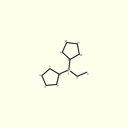 CCP(C1CCCC1)C1CCCC1